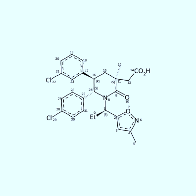 CC[C@H](c1cc(C)no1)N1C(=O)[C@](C)(CC(=O)O)C[C@H](c2cccc(Cl)c2)[C@H]1c1ccc(Cl)cc1